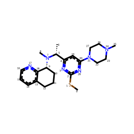 CSc1nc([C@@H](C)N(C)[C@@H]2CCCc3cccnc32)cc(N2CCN(C)CC2)n1